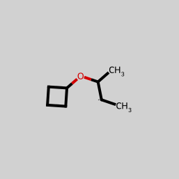 C[CH]C(C)OC1CCC1